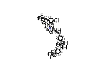 O=C(/N=C1\SCC(=O)N1c1cc(Cl)ccc1OCC(F)(F)F)NCCc1ccc(NC(=O)Nc2ccc(OC(F)(F)F)cc2)cc1